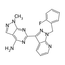 Cn1ncc2c(N)nc(-c3nn(Cc4ccccc4F)c4ncccc34)nc21